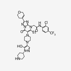 CCc1c(N2CCN(c3cnn(C4CCNCC4)c3O)CC2)c(=O)n2nc(C3=CCOCC3)nc2n1CC(=O)Nc1ccc(C(F)(F)F)cc1Cl